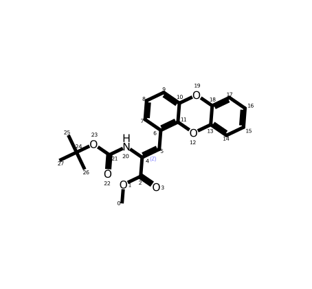 COC(=O)/C(=C/c1cccc2c1Oc1ccccc1O2)NC(=O)OC(C)(C)C